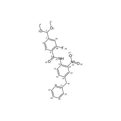 COC(OC)c1ccc(C(=O)Nc2ccc(Cc3ccccc3)cc2[N+](=O)[O-])c(F)c1